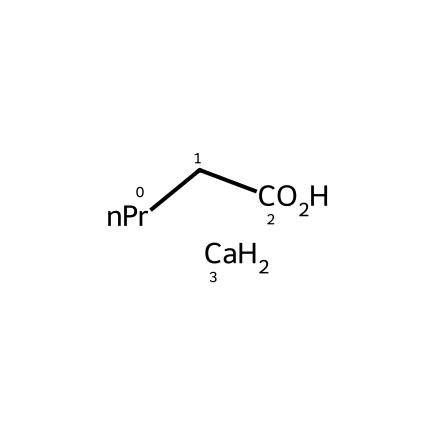 CCCCC(=O)O.[CaH2]